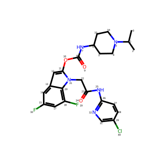 CC(C)N1CCC(NC(=O)Oc2cc3cc(F)cc(F)c3n2CC(=O)Nc2ccc(Cl)cn2)CC1